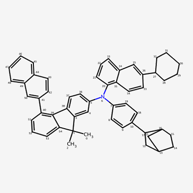 CC1(C)c2cc(N(c3ccc(C4CC5CCC4C5)cc3)c3cccc4cc(C5CCCCC5)ccc34)ccc2-c2c(-c3ccc4ccccc4c3)cccc21